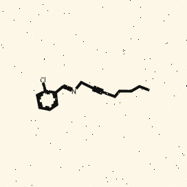 CCCCCC#CCN=Cc1ccccc1Cl